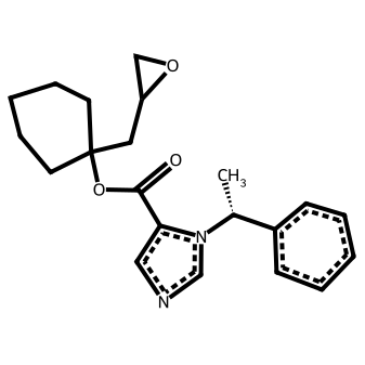 C[C@H](c1ccccc1)n1cncc1C(=O)OC1(CC2CO2)CCCCC1